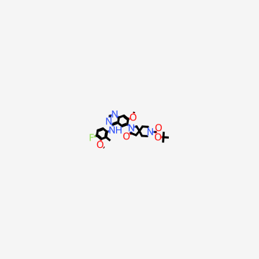 COc1cc2ncnc(Nc3ccc(F)c(OC)c3C)c2cc1N1CC2(CCN(C(=O)OC(C)(C)C)CC2)CC1=O